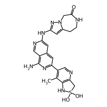 Cc1c(-c2cc3cc(Nc4cc5n(n4)CC(=O)NCC5)ncc3c(N)n2)cnc2c1NS(O)(O)C2